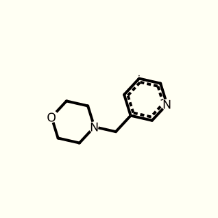 [c]1cncc(CN2CCOCC2)c1